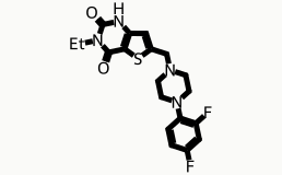 CCn1c(=O)[nH]c2cc(CN3CCN(c4ccc(F)cc4F)CC3)sc2c1=O